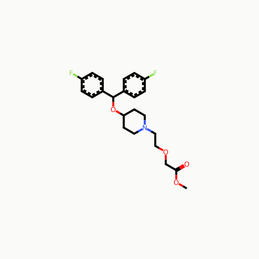 COC(=O)COCCN1CCC(OC(c2ccc(F)cc2)c2ccc(F)cc2)CC1